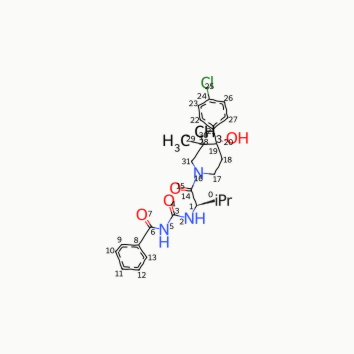 CC(C)[C@@H](NC(=O)NC(=O)c1ccccc1)C(=O)N1CC[C@](O)(c2ccc(Cl)cc2)C(C)(C)C1